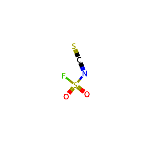 O=S(=O)(F)N=C=S